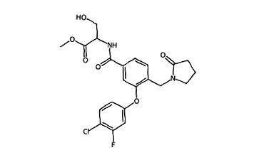 COC(=O)C(CO)NC(=O)c1ccc(CN2CCCC2=O)c(Oc2ccc(Cl)c(F)c2)c1